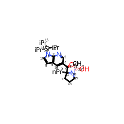 CCCC1(C(=O)c2cnc3c(ccn3[Si](C(C)C)(C(C)C)C(C)C)c2)CCCN1B(C)O